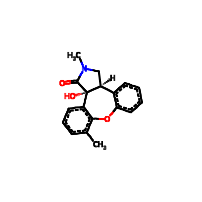 Cc1cccc2c1Oc1ccccc1[C@@H]1CN(C)C(=O)[C@]21O